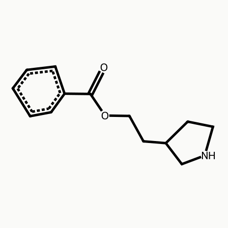 O=C(OCCC1CCNC1)c1ccccc1